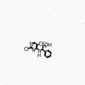 OCC(Nc1nc(Cl)ncc1C(F)(F)F)c1ccccc1